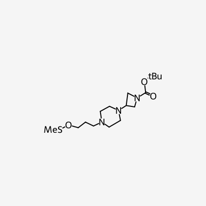 CSOCCCN1CCN(C2CN(C(=O)OC(C)(C)C)C2)CC1